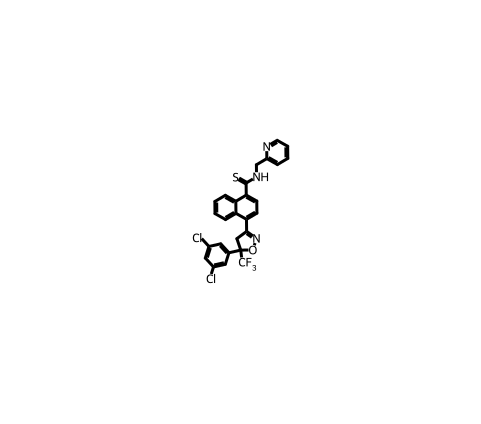 FC(F)(F)C1(c2cc(Cl)cc(Cl)c2)CC(c2ccc(C(=S)NCc3ccccn3)c3ccccc23)=NO1